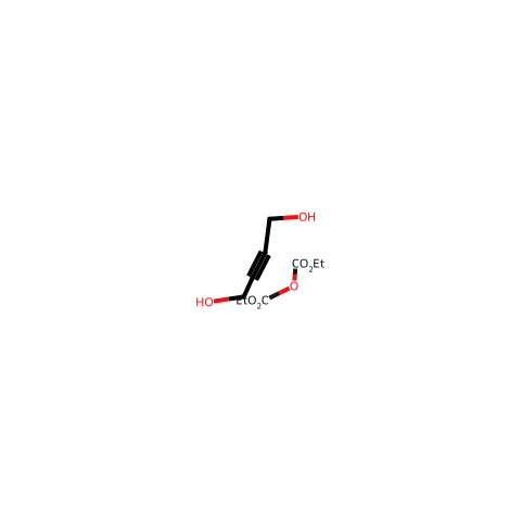 CCOC(=O)OC(=O)OCC.OCC#CCO